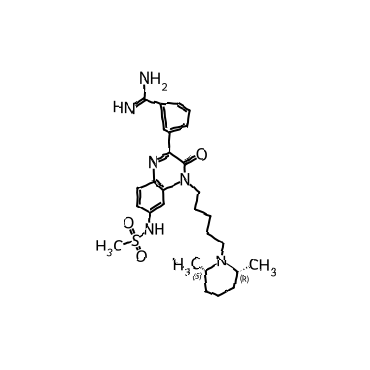 C[C@@H]1CCC[C@H](C)N1CCCCCn1c(=O)c(-c2cccc(C(=N)N)c2)nc2ccc(NS(C)(=O)=O)cc21